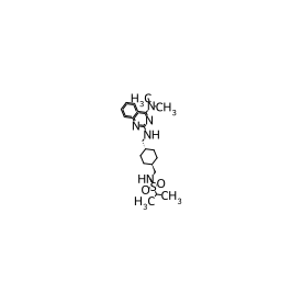 CC(C)S(=O)(=O)NC[C@H]1CC[C@H](CNc2nc(N(C)C)c3ccccc3n2)CC1